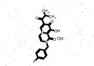 CC(C)C(=O)c1cn2ccn(Cc3ccc(F)cc3)c(=O)c2c(O)c1=O.Cl